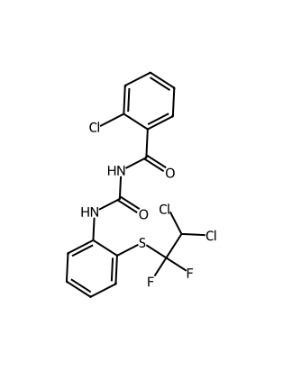 O=C(NC(=O)c1ccccc1Cl)Nc1ccccc1SC(F)(F)C(Cl)Cl